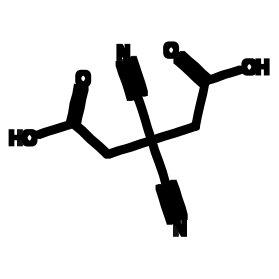 N#CC(C#N)(CC(=O)O)CC(=O)O